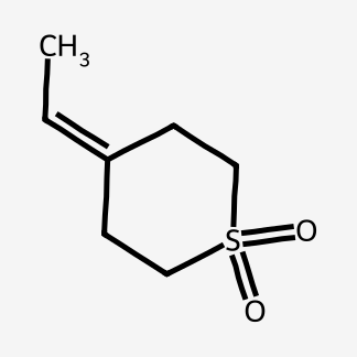 CC=C1CCS(=O)(=O)CC1